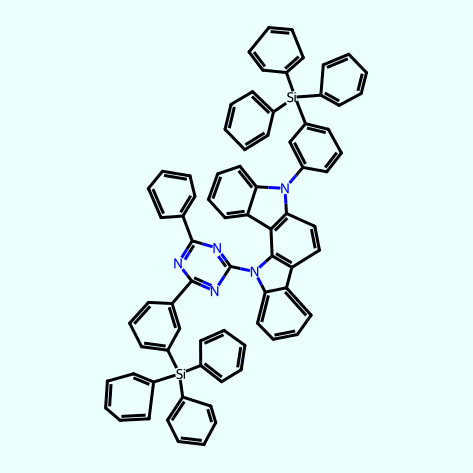 c1ccc(-c2nc(-c3cccc([Si](c4ccccc4)(c4ccccc4)c4ccccc4)c3)nc(-n3c4ccccc4c4ccc5c(c6ccccc6n5-c5cccc([Si](c6ccccc6)(c6ccccc6)c6ccccc6)c5)c43)n2)cc1